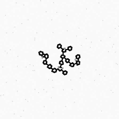 c1ccc(-c2cc(-c3ccc(-c4ccc(-c5nc(-c6ccccc6)cc(-c6cccc(-c7ccc(-c8cccc(-c9cccc%10c9sc9ccccc9%10)c8)cc7)c6)n5)cc4)c(-c4ccc(-c5cccc(-c6cccc7c6sc6ccccc67)c5)cc4)c3)cc(-c3ccccc3)n2)cc1